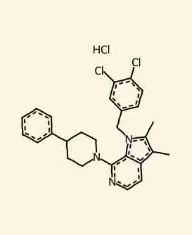 Cc1c(C)n(Cc2ccc(Cl)c(Cl)c2)c2c(N3CCC(c4ccccc4)CC3)nccc12.Cl